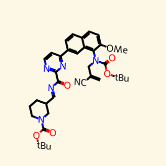 C=C(C#N)CN(C(=O)OC(C)(C)C)c1c(OC)ccc2ccc(-c3ccnc(C(=O)/N=C/C4CCCN(C(=O)OC(C)(C)C)C4)n3)cc12